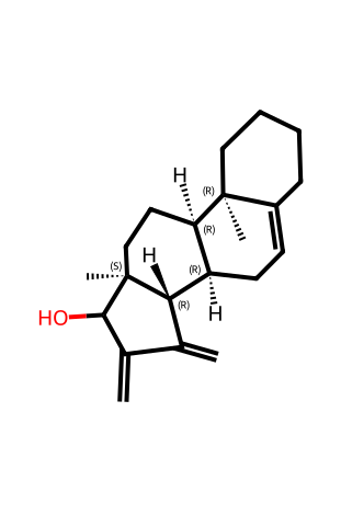 C=C1C(=C)[C@H]2[C@@H]3CC=C4CCCC[C@]4(C)[C@@H]3CC[C@]2(C)C1O